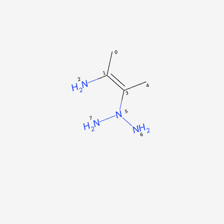 C/C(N)=C(\C)N(N)N